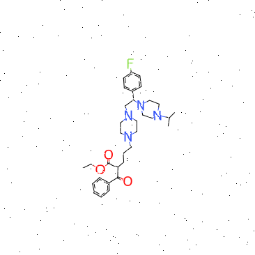 CCOC(=O)C(CCCN1CCN(CC(c2ccc(F)cc2)N2CCN(C(C)C)CC2)CC1)C(=O)c1ccccc1